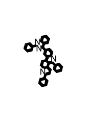 c1ccc(-c2ccc3c(ccc4c5cc(-c6nc(-c7ccccc7)nc7ccccc67)ccc5nc(-c5ccccc5)c34)n2)cc1